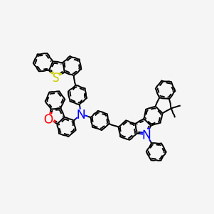 CC1(C)c2ccccc2-c2cc3c4cc(-c5ccc(N(c6ccc(-c7cccc8c7sc7ccccc78)cc6)c6cccc7oc8ccccc8c67)cc5)ccc4n(-c4ccccc4)c3cc21